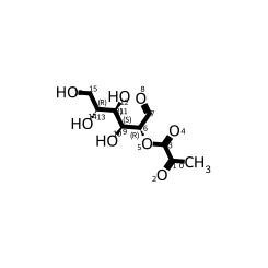 CC(=O)C(=O)O[C@@H](C=O)[C@@H](O)[C@H](O)[C@H](O)CO